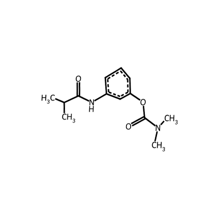 CC(C)C(=O)Nc1cccc(OC(=O)N(C)C)c1